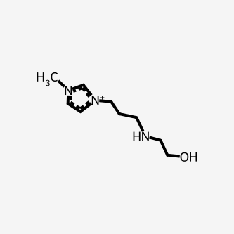 Cn1cc[n+](CCCNCCO)c1